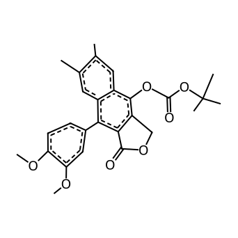 COc1ccc(-c2c3c(c(OC(=O)OC(C)(C)C)c4cc(C)c(C)cc24)COC3=O)cc1OC